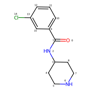 O=C(NC1CCNCC1)c1cccc(Cl)c1